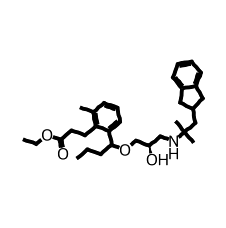 CCCC(OC[C@H](O)CNC(C)(C)CC1Cc2ccccc2C1)c1cccc(C)c1CCC(=O)OCC